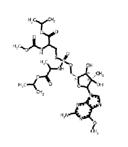 COC(=O)NC(CSP(=O)(NC(C)C(=O)OC(C)C)OC[C@H]1OC(n2cnc3c(OC)nc(N)nc32)[C@](C)(O)[C@@H]1O)C(=O)OC(C)C